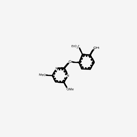 CCOC(=O)c1c(O)cccc1Oc1nc(OC)cc(OC)n1